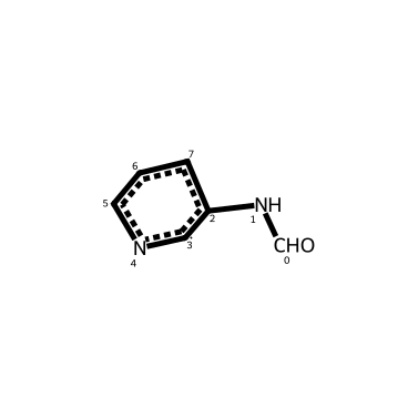 O=CNc1[c]nccc1